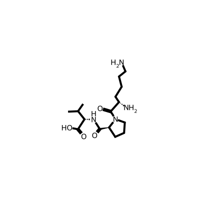 CC(C)[C@H](NC(=O)[C@@H]1CCCN1C(=O)[C@@H](N)CCCCN)C(=O)O